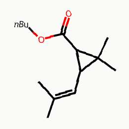 CCCCOC(=O)C1C(C=C(C)C)C1(C)C